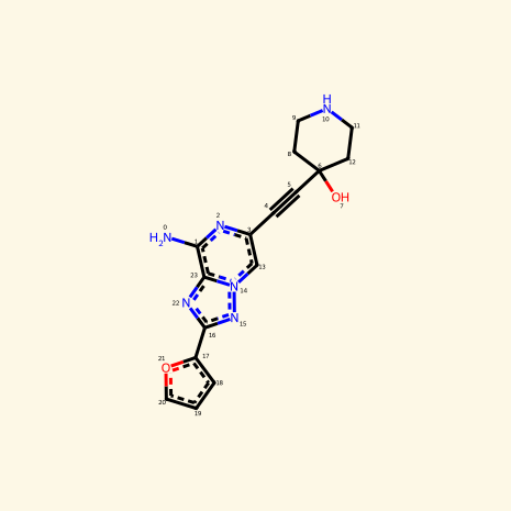 Nc1nc(C#CC2(O)CCNCC2)cn2nc(-c3ccco3)nc12